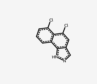 Clc1cccc2c1c(Cl)cc1cn[nH]c12